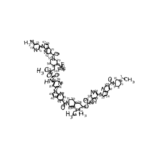 CC[C@@H]1CCCN(C(=O)c2cnc3c(ccn3-c3cncc(NC(=O)OC(C)CC4CCN(C(=O)c5cnc6c(ccn6-c6cncc(NC(=O)OC(C)CC7CCN(C(=O)c8cnc9c(ccn9-c9cncc(N)c9)c8)C[C@H]7C(F)(F)F)c6)c5)C[C@H]4CC)c3)c2)C1